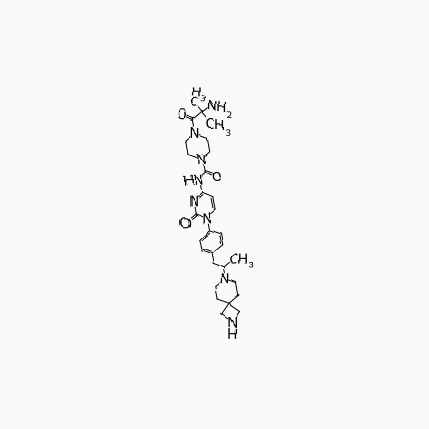 CC(Cc1ccc(-n2ccc(NC(=O)N3CCN(C(=O)C(C)(C)N)CC3)nc2=O)cc1)N1CCC2(CC1)CNC2